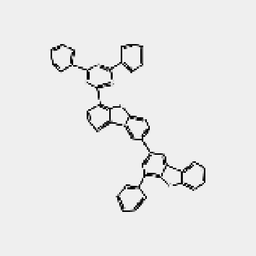 c1ccc(-c2nc(-c3ccccc3)nc(-c3cccc4c3oc3ccc(-c5cc(-c6ccccc6)c6oc7ccccc7c6c5)cc34)n2)cc1